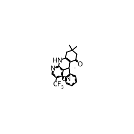 CC1(C)CC(=O)C2=C(C1)Nc1ncc(C(F)(F)F)c(C#N)c1[C@]2(C)c1ccccc1